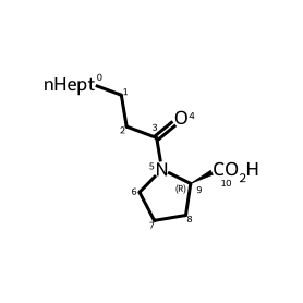 CCCCCCCCCC(=O)N1CCC[C@@H]1C(=O)O